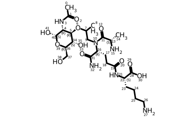 CC(=O)N[C@@H]1[C@@H](OC(C)CN(C(=O)[C@H](C)N)[C@H](CCC(=O)N[C@@H](CCCCN)C(=O)O)C(N)=O)[C@H](O)[C@@H](CO)O[C@@H]1O